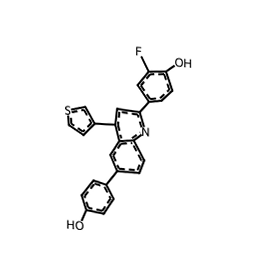 Oc1ccc(-c2ccc3nc(-c4ccc(O)c(F)c4)cc(-c4ccsc4)c3c2)cc1